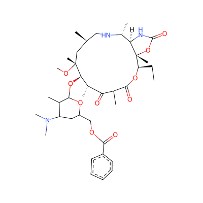 CC[C@H]1OC(=O)C(C)C(=O)[C@H](C)[C@@H](OC2OC(COC(=O)c3ccccc3)CC(N(C)C)C2C)[C@](C)(OC)C[C@@H](C)CN[C@H](C)[C@H]2NC(=O)O[C@@]21C